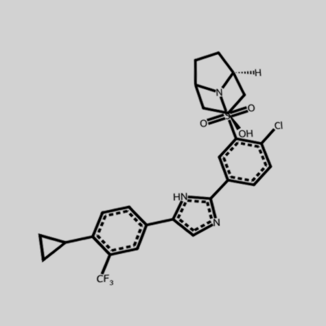 O=S(=O)(c1cc(-c2ncc(-c3ccc(C4CC4)c(C(F)(F)F)c3)[nH]2)ccc1Cl)N1C2CC[C@H]1C[C@@H](O)C2